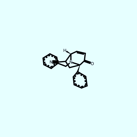 N#CC1C[C@@]2(c3ccccc3)C(=O)C=C[C@@H]1N2Cc1ccccc1